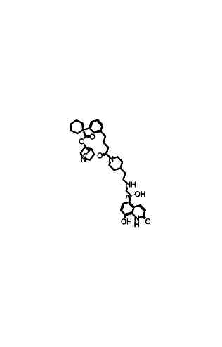 O=C(CCCc1cccc(C2(C(=O)OC3CN4CCC3CC4)CCCCC2)c1)N1CCC(CCNC[C@H](O)c2ccc(O)c3[nH]c(=O)ccc23)CC1